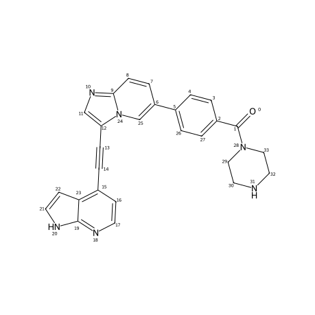 O=C(c1ccc(-c2ccc3ncc(C#Cc4ccnc5[nH]ccc45)n3c2)cc1)N1CCNCC1